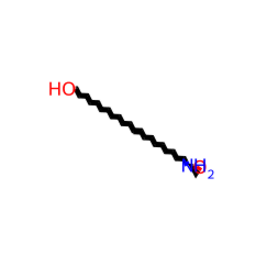 C1CO1.NCCCCCCCCC=CCCCCCCCCCCCO